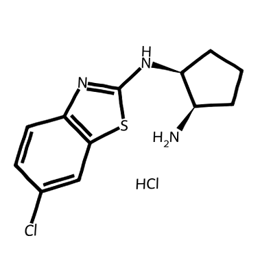 Cl.N[C@@H]1CCC[C@@H]1Nc1nc2ccc(Cl)cc2s1